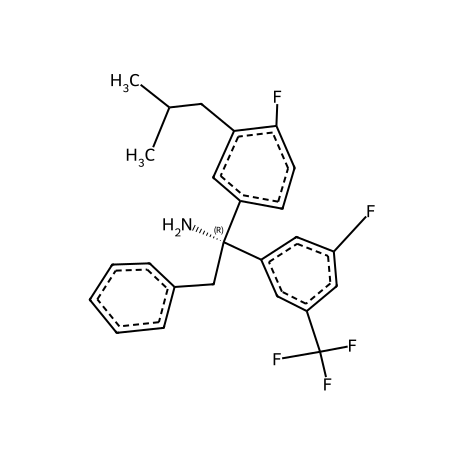 CC(C)Cc1cc([C@](N)(Cc2ccccc2)c2cc(F)cc(C(F)(F)F)c2)ccc1F